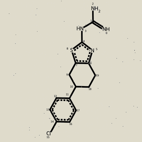 N=C(N)Nc1nc2c(s1)CC(c1ccc(Cl)cc1)CC2